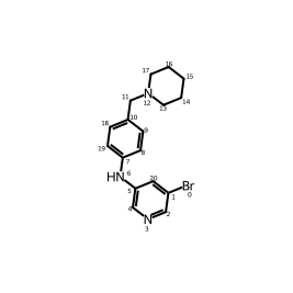 Brc1cncc(Nc2ccc(CN3CCCCC3)cc2)c1